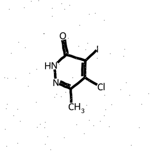 Cc1n[nH]c(=O)c(I)c1Cl